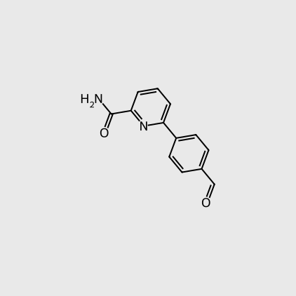 NC(=O)c1cccc(-c2ccc(C=O)cc2)n1